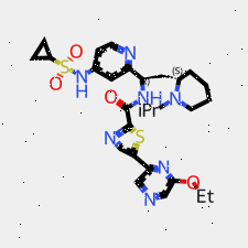 CCOc1cncc(-c2cnc(C(=O)N[C@H](C[C@@H]3CCCCN3C(C)C)c3cc(NS(=O)(=O)C4CC4)ccn3)s2)n1